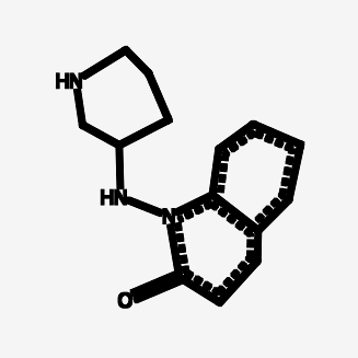 O=c1ccc2ccccc2n1NC1CCCNC1